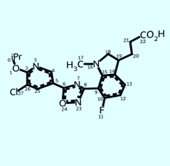 CC(C)Oc1ncc(-c2nc(-c3c(F)ccc4c3N(C)CC4CCC(=O)O)no2)cc1Cl